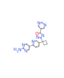 Nc1ncc(-c2ccc(C3(c4noc(-c5cncnc5)n4)CCC3)cn2)cn1